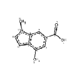 Cc1cc(C(=O)O)cc2c1ccn2C